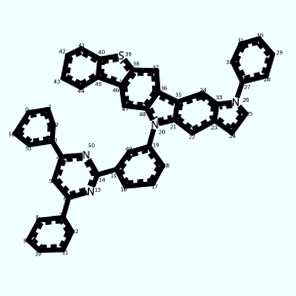 c1ccc(-c2cc(-c3ccccc3)nc(-c3cccc(-n4c5cc6ccn(-c7ccccc7)c6cc5c5cc6sc7ccccc7c6cc54)c3)n2)cc1